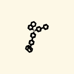 c1ccc(-c2ccc(N(c3ccc(-c4ccc(C56CC7CC(CC(C7)C5)C6)cc4)cc3)c3cccc4c3CCCC4)cc2)cc1